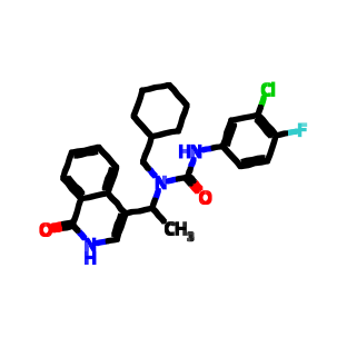 CC(c1c[nH]c(=O)c2ccccc12)N(CC1CCCCC1)C(=O)Nc1ccc(F)c(Cl)c1